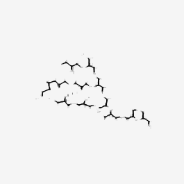 CCCCCCCCCCCCC(C)CC(O)COCC(O)COC(COCC(CO)OCC(O)CO)COCC(COCC(O)COCC(O)CO)OC(CO)COCC1COCC(CO)O1